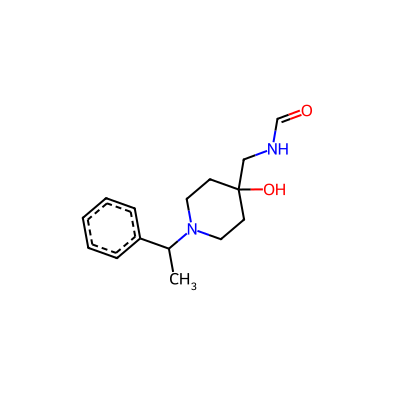 CC(c1ccccc1)N1CCC(O)(CNC=O)CC1